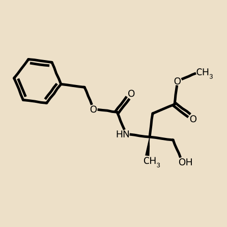 COC(=O)C[C@](C)(CO)NC(=O)OCc1ccccc1